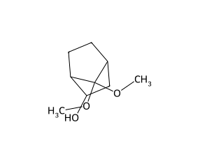 COC1(OC)C2CCC1C(O)C2